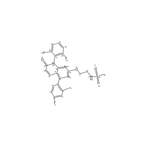 Cc1cc(F)ccc1-c1nc(OCCNS(C)(=O)=O)nc2c1ccc(=O)n2-c1c(F)cccc1F